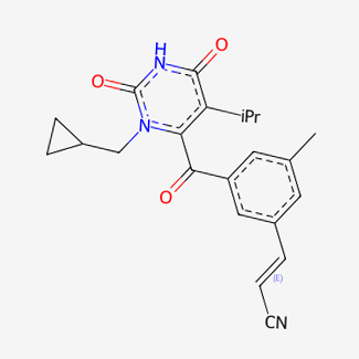 Cc1cc(/C=C/C#N)cc(C(=O)c2c(C(C)C)c(=O)[nH]c(=O)n2CC2CC2)c1